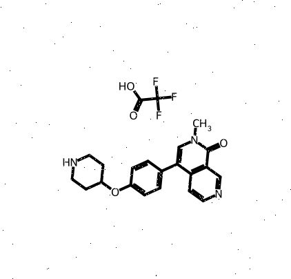 Cn1cc(-c2ccc(OC3CCNCC3)cc2)c2ccncc2c1=O.O=C(O)C(F)(F)F